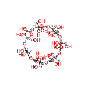 CC1OC2OC3C(CO)OC(OC4C(CO)OC(OC5C(CO)OC(OC6C(CO)OC(OC7C(CO)OC(OC8C(CO)OC(OC1C(O)C2O)C(O)C8O)C(O)C7O)C(O)C6O)C(O)C5O)C(O)C4O)C(O)C3O